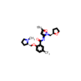 CN1CCC[C@H]1COc1ccc(C(F)(F)F)cc1C(=O)/N=c1\cc(C(C)(C)C)on1C[C@H]1CCCO1